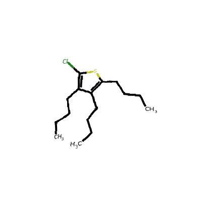 CCCCc1sc(Cl)c(CCCC)c1CCCC